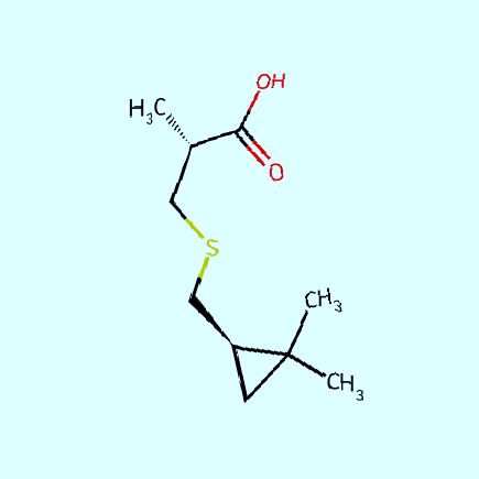 C[C@@H](CSC[C@@H]1CC1(C)C)C(=O)O